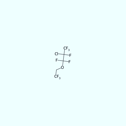 FC(F)(F)COC(F)(F)C(F)(Cl)C(F)(F)F